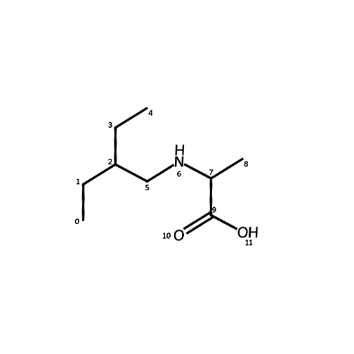 CCC(CC)CNC(C)C(=O)O